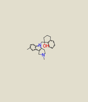 Cc1ccc2c(c1)c1c(n2CC2(O)CCCc3ccccc32)CCN(C)C1